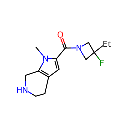 CCC1(F)CN(C(=O)c2cc3c(n2C)CNCC3)C1